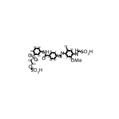 COc1cc(/N=N/c2ccc(C(=O)Nc3cccc(S(=O)(=O)CCOS(=O)(=O)O)c3)cc2)c(C)cc1NCS(=O)(=O)O